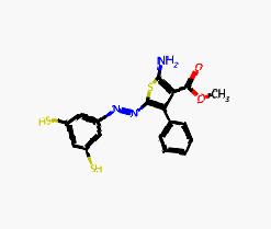 COC(=O)c1c(N)sc(N=Nc2cc(S)cc(S)c2)c1-c1ccccc1